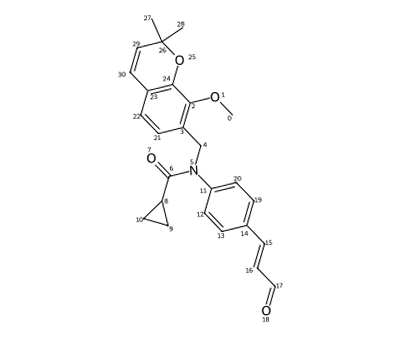 COc1c(CN(C(=O)C2CC2)c2ccc(/C=C/C=O)cc2)ccc2c1OC(C)(C)C=C2